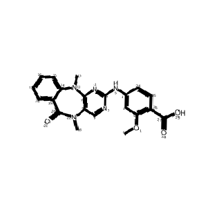 COc1cc(Nc2ncc3c(n2)N(C)c2ccccc2C(=O)N3C)ccc1C(=O)O